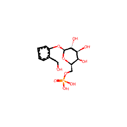 O=P(O)(O)OC[C@H]1O[C@@H](Oc2ccccc2CO)[C@H](O)[C@@H](O)[C@H]1O